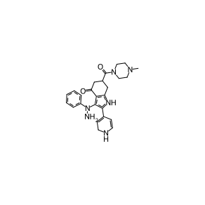 CN1CCN(C(=O)C2CC(=O)c3c([nH]c(C4=CCNC=C4)c3N(N)c3ccccc3)C2)CC1